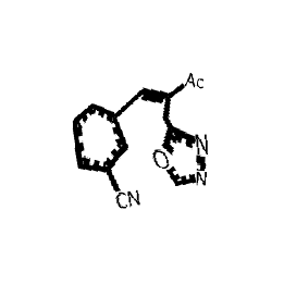 CC(=O)C(=Cc1cccc(C#N)c1)c1nnco1